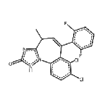 CC1C=C(c2c(F)cccc2F)c2c(ccc(Cl)c2Cl)-n2[nH]c(=O)nc21